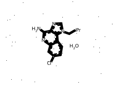 CC(C)Cn1cnc2c(N)nc3cc(Cl)ccc3c21.O